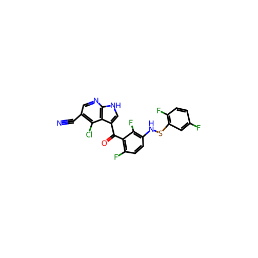 N#Cc1cnc2[nH]cc(C(=O)c3c(F)ccc(NSc4cc(F)ccc4F)c3F)c2c1Cl